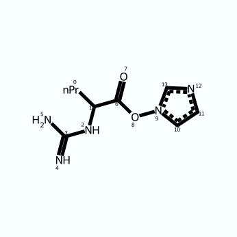 CCCC(NC(=N)N)C(=O)On1ccnc1